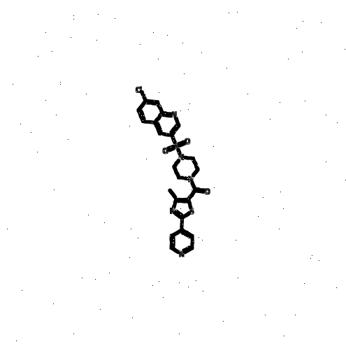 Cc1nc(-c2ccncc2)sc1C(=O)N1CCN(S(=O)(=O)c2cnc3cc(Cl)ccc3c2)CC1